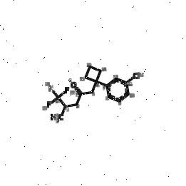 CC(CC(=O)CC1(c2cccc(Cl)c2)CCC1)C(F)(F)F